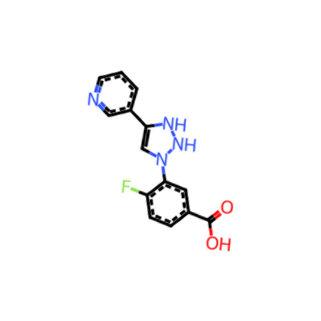 O=C(O)c1ccc(F)c(N2C=C(c3cccnc3)NN2)c1